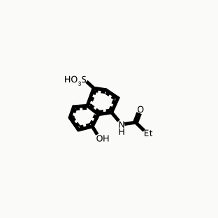 CCC(=O)Nc1ccc(S(=O)(=O)O)c2cccc(O)c12